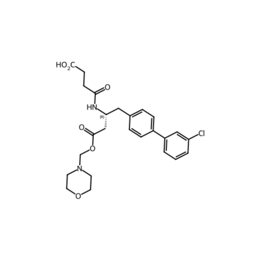 O=C(O)CCC(=O)N[C@@H](CC(=O)OCN1CCOCC1)Cc1ccc(-c2cccc(Cl)c2)cc1